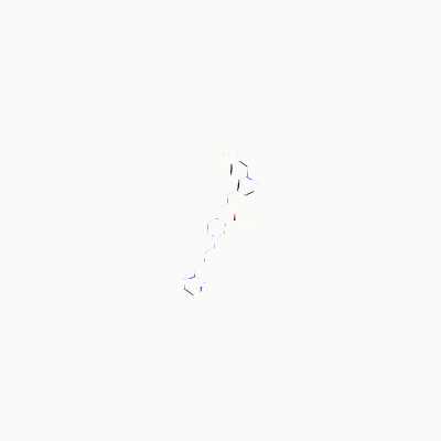 COc1ccc2nccc(C(F)CC[C@@H]3CCN(CCCSc4ncccn4)C[C@@H]3C(=O)O)c2c1